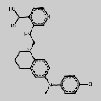 CN(c1ccc(Cl)cc1)c1ccc2c(c1)CCC[C@H]2CNc1cnccc1C(O)O